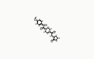 COc1ccc(NC(=O)N2CCN(C(=O)CN3CCCC3=O)CC2)cc1